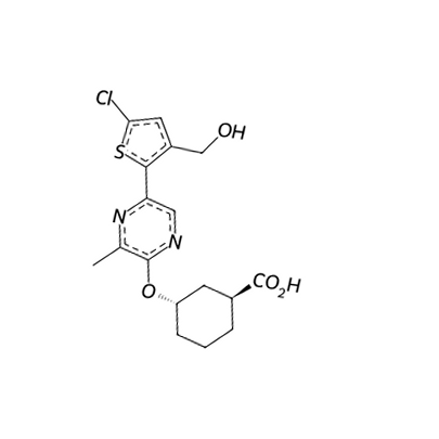 Cc1nc(-c2sc(Cl)cc2CO)cnc1O[C@H]1CCC[C@H](C(=O)O)C1